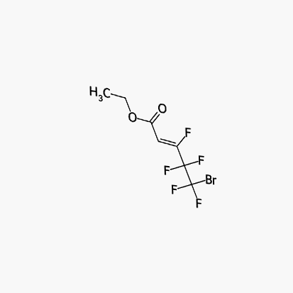 CCOC(=O)C=C(F)C(F)(F)C(F)(F)Br